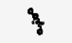 NC(Cc1ccc(-c2ccccc2)cc1Cl)C(=O)OCc1ccccc1